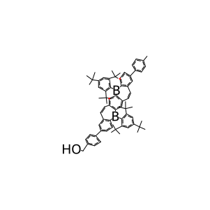 Cc1ccc(-c2ccc3c(c2)C=Cc2cc4c(cc2B3c2c(C(C)(C)C)cc(C(C)(C)C)cc2C(C)(C)C)C=Cc2cc(-c3ccc(CO)cc3)ccc2B4c2c(C(C)(C)C)cc(C(C)(C)C)cc2C(C)(C)C)cc1